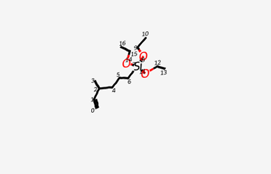 C=CC(C)CCC[Si](OCC)(OCC)OCC